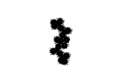 c1ccc(-c2c(-c3ccccc3)c(-c3ccc(N(c4ccccc4)c4ccc(N(c5ccccc5)c5cccc6ccccc56)cc4)cc3)c3ccccc3c2-c2ccc(N(c3ccccc3)c3ccc(N(c4ccccc4)c4cccc5ccccc45)cc3)cc2)cc1